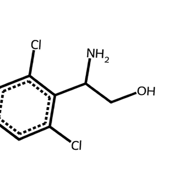 NC(CO)c1c(Cl)cccc1Cl